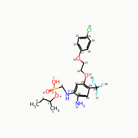 CCC(C)OP(=O)(O)CNc1cc(OCCOc2ccc(Cl)cc2)c(C(F)(F)F)cc1N